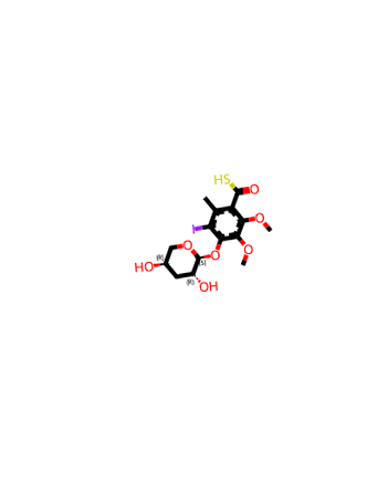 COc1c(O[C@@H]2OC[C@H](O)C[C@H]2O)c(I)c(C)c(C(=O)S)c1OC